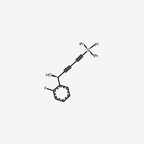 CC(C)[Si](C#CC#C[C@H](O)c1ccccc1F)(C(C)C)C(C)C